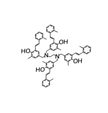 Cc1ccccc1/C=C/c1cc(CN(CCN(Cc2cc(C)c(O)c(/C=C/c3ccccc3C)c2)Cc2cc(C)c(O)c(/C=C/c3ccccc3C)c2)Cc2cc(C)c(O)c(/C=C/c3ccccc3C)c2)cc(C)c1O